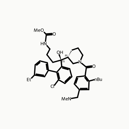 CCCCc1cc(CNC)ccc1C(=O)N1CCC[C@@H]([C@@](O)(CCCNC(=O)OC)c2cccc(Cl)c2-c2cccc(CC)c2)C1